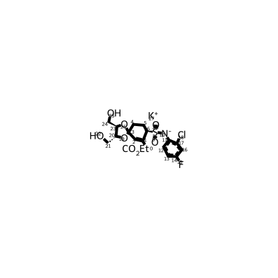 CCOC(=O)C1=CC2(CC[C@H]1S(=O)(=O)[N-]c1ccc(F)cc1Cl)O[C@H](CO)[C@@H](CO)O2.[K+]